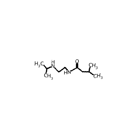 CC(C)CC(=O)NCCNC(C)C